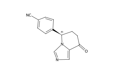 N#Cc1ccc([C@H]2CCC(=O)c3cncn32)cc1